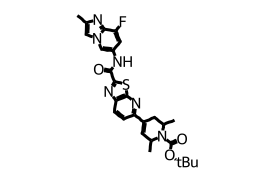 Cc1cn2cc(NC(=O)c3nc4ccc(C5=CC(C)N(C(=O)OC(C)(C)C)C(C)C5)nc4s3)cc(F)c2n1